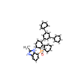 Cc1nc2cccc3c2n1-c1ccc(-c2cc(-c4ccccc4)cc(-c4ccccc4)c2)cc1P3(=O)c1ccccc1